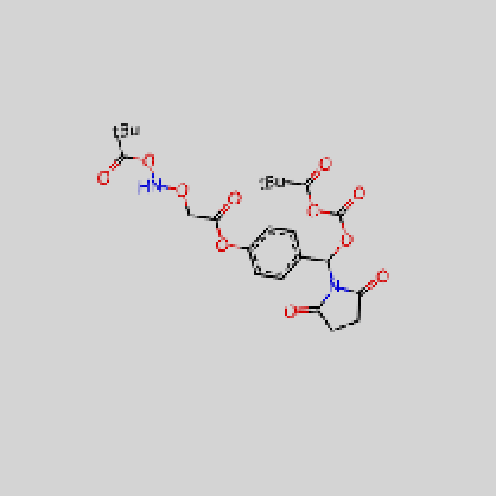 CC(C)(C)C(=O)ONOCC(=O)Oc1ccc(C(OC(=O)OC(=O)C(C)(C)C)N2C(=O)CCC2=O)cc1